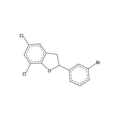 Clc1cc(Cl)c2c(c1)CC(c1cccc(Br)c1)O2